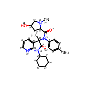 CC(C)(C)c1ccc(N(C(=O)C2CC(O)CN2C#N)C(C)(C(=O)NC2CCCCC2)c2cccnc2)cc1